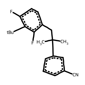 CC(C)(C)c1c(F)ccc(CC(C)(C)c2cccc(C#N)c2)c1F